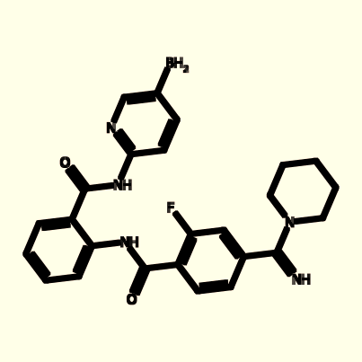 Bc1ccc(NC(=O)c2ccccc2NC(=O)c2ccc(C(=N)N3CCCCC3)cc2F)nc1